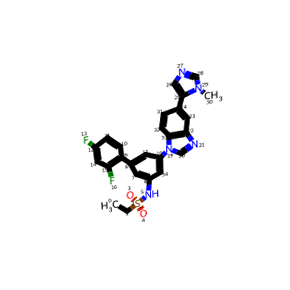 CCS(=O)(=O)Nc1cc(-c2ccc(F)cc2F)cc(-n2cnc3cc(-c4cncn4C)ccc32)c1